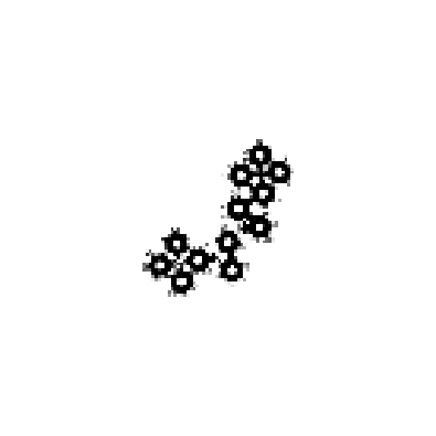 c1ccc(C2(c3ccccc3)c3ccccc3-c3c(-c4cccc5c4c4ccccc4n5-c4ccc5c(c4)c4ccccc4n5-c4ccc([Si](c5ccccc5)(c5ccccc5)c5ccccc5)cc4)cccc32)cc1